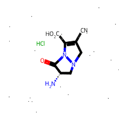 Cl.N#CC1=C(C(=O)O)N2C(=O)[C@@H](N)CN2C1